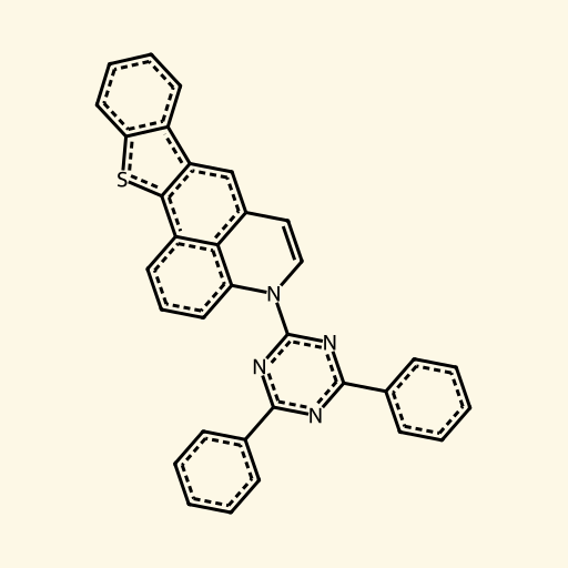 C1=CN(c2nc(-c3ccccc3)nc(-c3ccccc3)n2)c2cccc3c2c1cc1c2ccccc2sc31